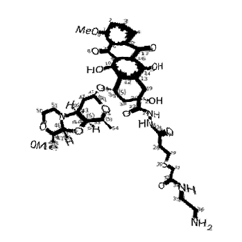 COc1cccc2c1C(=O)c1c(O)c3c(c(O)c1C2=O)C[C@@](O)(C(=O)NNC(=O)CCSCC(=O)NCCN)C[C@@H]3O[C@H]1C[C@H]2[C@H](O[C@@H]3[C@@H](OC)OCCN32)[C@H](C)O1